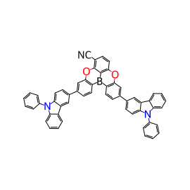 N#Cc1ccc2c3c1Oc1cc(-c4ccc5c(c4)c4ccccc4n5-c4ccccc4)ccc1B3c1ccc(-c3ccc4c(c3)c3ccccc3n4-c3ccccc3)cc1O2